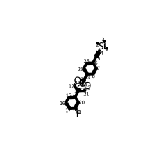 C[Si](C)(C)C#Cc1ccc(C23OCC(c4cccc(F)c4)(CO2)CO3)cc1